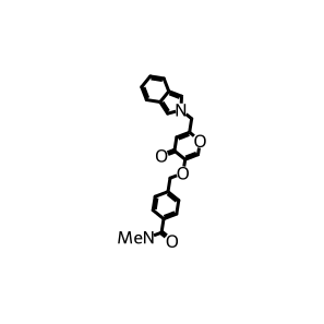 CNC(=O)c1ccc(COc2coc(Cn3cc4ccccc4c3)cc2=O)cc1